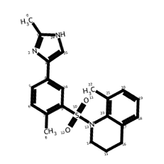 Cc1nc(-c2ccc(C)c(S(=O)(=O)N3CCCc4cccc(C)c43)c2)c[nH]1